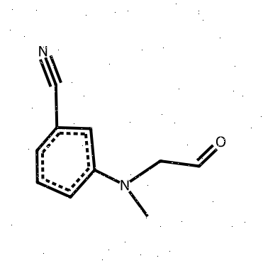 CN(CC=O)c1cccc(C#N)c1